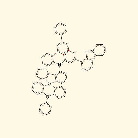 c1ccc(-c2cccc(-c3ccccc3N(c3cccc(-c4cccc5c4oc4ccccc45)c3)c3cccc4c3-c3ccccc3C43c4ccccc4N(c4ccccc4)c4ccccc43)c2)cc1